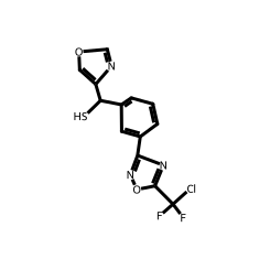 FC(F)(Cl)c1nc(-c2cccc(C(S)c3cocn3)c2)no1